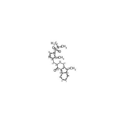 Cc1c2c(n3ccccc13)C(=O)C(Cc1ncn(S(=O)(=O)N(C)C)c1C)CC2